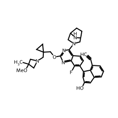 C#Cc1cccc2cc(O)cc(-c3ccc4c(N5CC6CCC(C5)N6)nc(OCC5(CN6CC(C)(OC)C6)CC5)nc4c3F)c12